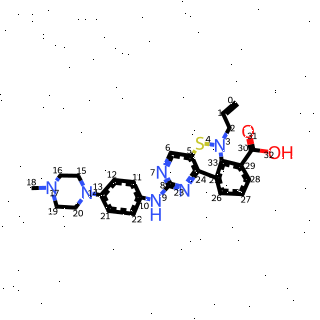 C=CCN1Sc2cnc(Nc3ccc(N4CCN(C)CC4)cc3)nc2-c2cccc(C(=O)O)c21